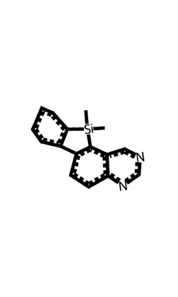 C[Si]1(C)c2ccccc2-c2ccc3ncncc3c21